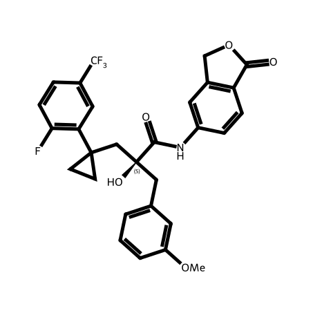 COc1cccc(C[C@](O)(CC2(c3cc(C(F)(F)F)ccc3F)CC2)C(=O)Nc2ccc3c(c2)COC3=O)c1